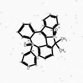 CC1(C)c2cccc3c2C2=C(c4ccccc4P3(=O)c3ccncc3)c3ccccc3P21=O